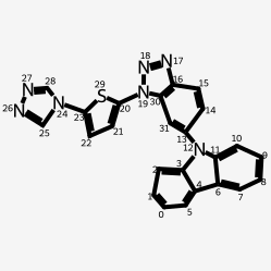 c1ccc2c(c1)c1ccccc1n2-c1ccc2nnn(-c3ccc(-n4cnnc4)s3)c2c1